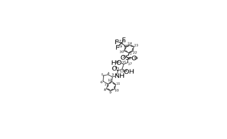 O=C(NC1CCCc2ccccc21)C(O)C(O)CS(=O)(=O)c1cccc(C(F)(F)F)c1